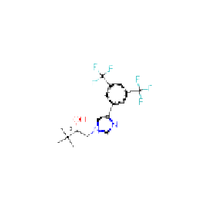 CC(C)(C)[C@H](O)Cn1cnc(-c2cc(C(F)(F)F)cc(C(F)(F)F)c2)c1